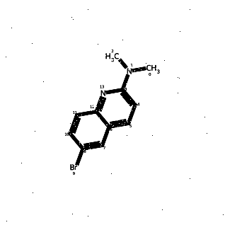 CN(C)c1ccc2cc(Br)ccc2n1